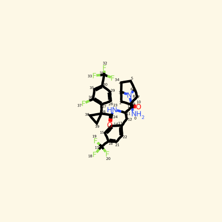 NC1CC2CCC(C1)N2C(=O)C(Cc1ccc(C(F)(F)F)cc1)NC(=O)C1(c2ccc(C(F)(F)F)cc2F)CC1